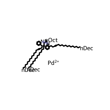 CCCCCCCCCCCCCCCCCCCCCCCC#CCCc1ccccc1/N=C(CCCCCCCC)\C(C#CCCCCCCCCCCCCCCCCCCCCCCCC)=N\c1ccccc1CCC#CCCCCCCCCCCCCCCCCCCCCCCC.[Pd+2]